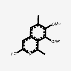 COc1c(C)cc2cc(O)nc(C)c2c1OC